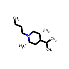 CCCCN1C[C@H](C)C(C(C)C)C[C@@H]1C